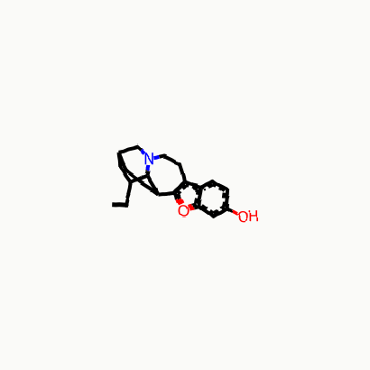 CCC1CC2CC3c4oc5cc(O)ccc5c4CCN(C2)C13